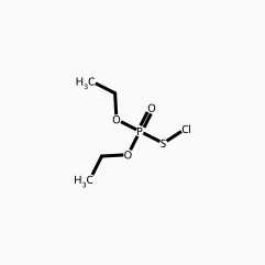 CCOP(=O)(OCC)SCl